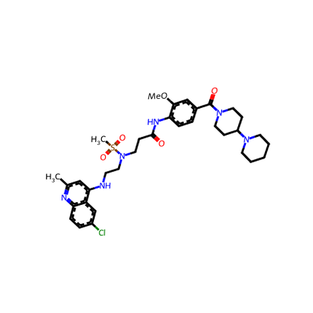 COc1cc(C(=O)N2CCC(N3CCCCC3)CC2)ccc1NC(=O)CCN(CCNc1cc(C)nc2ccc(Cl)cc12)S(C)(=O)=O